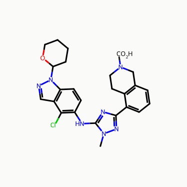 Cn1nc(-c2cccc3c2CCN(C(=O)O)C3)nc1Nc1ccc2c(cnn2C2CCCCO2)c1Cl